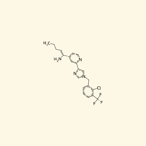 CCC/C=C(\N)c1ccnc(-c2cn(Cc3cccc(C(F)(F)F)c3Cl)cn2)c1